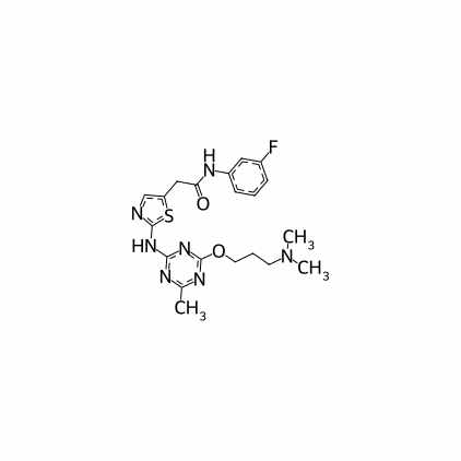 Cc1nc(Nc2ncc(CC(=O)Nc3cccc(F)c3)s2)nc(OCCCN(C)C)n1